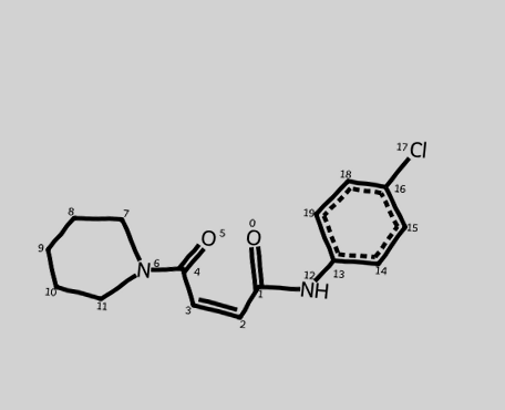 O=C(/C=C\C(=O)N1CCCCC1)Nc1ccc(Cl)cc1